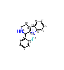 Fc1ccccc1C1NCCc2c1[nH]c1ccccc21